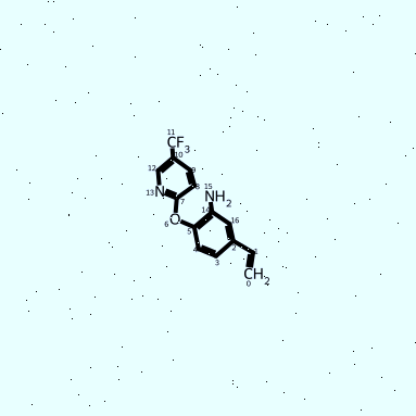 C=Cc1ccc(Oc2ccc(C(F)(F)F)cn2)c(N)c1